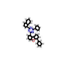 c1ccc(-c2nc(-c3cccc4ccccc34)nc(-c3cccc4oc5c(-c6ccccc6)cccc5c34)n2)cc1